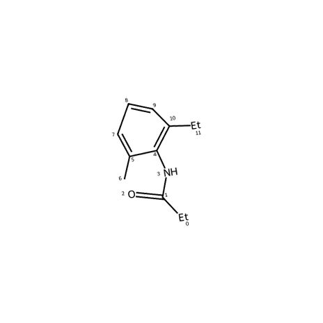 CCC(=O)Nc1c(C)cccc1CC